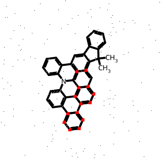 CC1(C)c2ccccc2-c2cc(-c3ccccc3N(c3cccc(-c4ccccc4)c3-c3ccccc3-c3ccccc3)c3cccc4ccccc34)ccc21